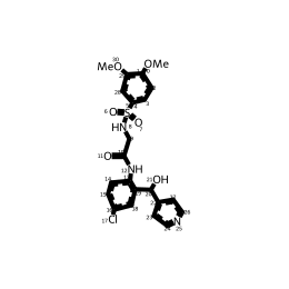 COc1ccc(S(=O)(=O)NCC(=O)Nc2ccc(Cl)cc2C(O)c2ccncc2)cc1OC